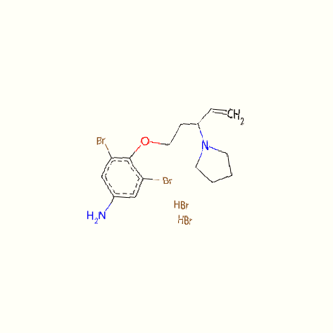 Br.Br.C=CC(CCOc1c(Br)cc(N)cc1Br)N1CCCC1